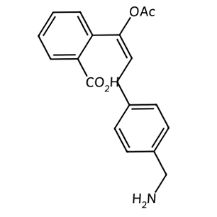 CC(=O)OC(=CCc1ccc(CN)cc1)c1ccccc1C(=O)O